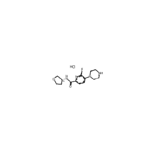 Cl.O=C(N[C@@H]1CCOC1)c1ccc(N2CCNCC2)c(F)n1